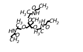 C=CC(=O)NC(C)COCC(CC)(COCC(C)NC(=O)C=C)COCC(C)NC(=O)C=C